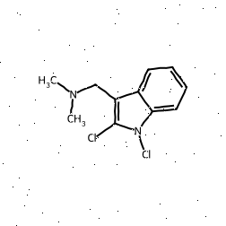 CN(C)Cc1c(Cl)n(Cl)c2ccccc12